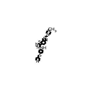 CN1CCN(CCn2cc3c(n2)CCc2c-3sc3ncnc(Nc4ccc(SCc5ccncc5)cc4)c23)CC1